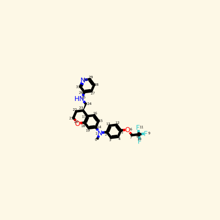 CN(c1ccc(OCC(F)(F)F)cc1)c1ccc2c(c1)OCC[C@H]2CNc1cccnc1